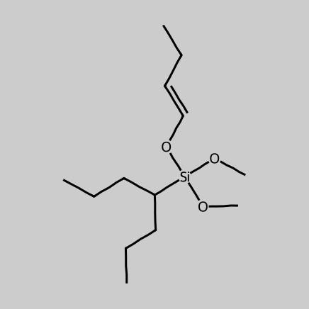 CCC=CO[Si](OC)(OC)C(CCC)CCC